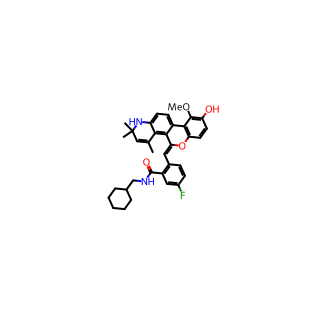 COc1c(O)ccc2c1-c1ccc3c(c1/C(=C/c1ccc(F)cc1C(=O)NCC1CCCCC1)O2)C(C)=CC(C)(C)N3